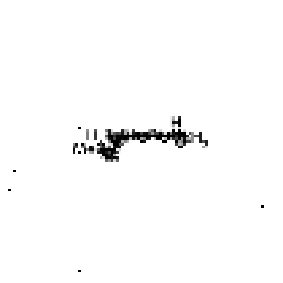 C=CC(=O)NCCOCCOCCOCCNCC[C@@H]1C[C@H](Cc2cc(OC)ccc2F)CN(C)C1